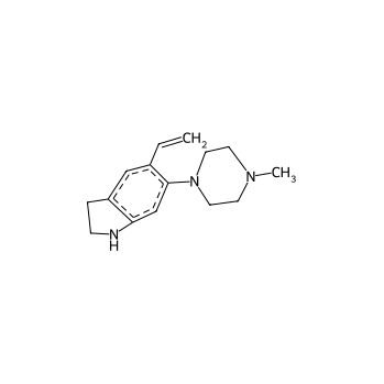 C=Cc1cc2c(cc1N1CCN(C)CC1)NCC2